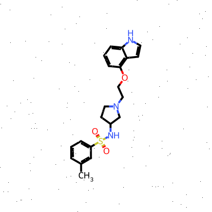 Cc1cccc(S(=O)(=O)NC2CCN(CCOc3cccc4[nH]ccc34)C2)c1